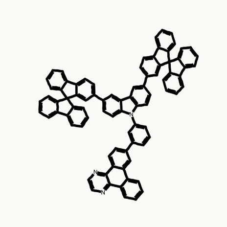 c1cc(-c2ccc3c(c2)c2ccccc2c2nccnc32)cc(-n2c3ccc(-c4ccc5c(c4)C4(c6ccccc6-c6ccccc64)c4ccccc4-5)cc3c3cc(-c4ccc5c(c4)C4(c6ccccc6-c6ccccc64)c4ccccc4-5)ccc32)c1